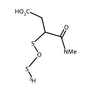 [3H]SOSC(CC(=O)O)C(=O)NC